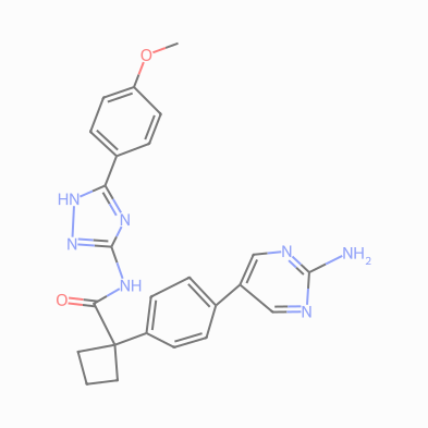 COc1ccc(-c2nc(NC(=O)C3(c4ccc(-c5cnc(N)nc5)cc4)CCC3)n[nH]2)cc1